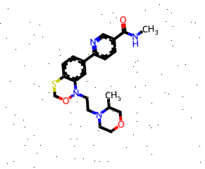 CNC(=O)c1ccc(-c2ccc3c(c2)N(CCN2CCOCC2C)OCS3)nc1